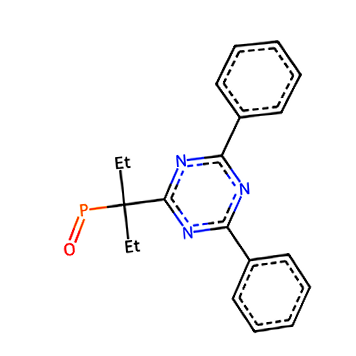 CCC(CC)(P=O)c1nc(-c2ccccc2)nc(-c2ccccc2)n1